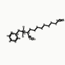 CCCCCCCCCCCCCCCCCCC(CC)[N+](C)(C)Cc1ccccc1.[Cl-]